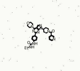 CCNC(=O)Nc1ccc(-c2nc(N3CCOCC3)c3cnn(C4CCN(C(=O)c5cccnc5)CC4)c3n2)cc1